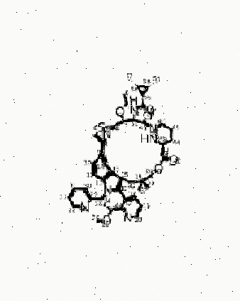 CCO[C@@H]1c2nc(cs2)-c2ccc3c(c2)c(c(-c2cccnc2[C@H](C)OC)n3Cc2ccccn2)CC(C)(C)COC(=O)[C@@H]2CCCN(N2)C(=O)[C@H]1NC(=O)[C@H]1[C@H](C)[C@@H]1C